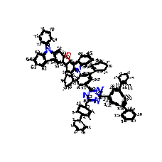 C1=CCC(c2ccc(-c3nc(-c4cc(-c5ccccc5)cc(-c5ccccc5)c4)nc(-c4cc(-c5ccccc5)c(-n5c6ccccc6c6c7oc8cc9c(cc8c7ccc65)c5ccccc5n9-c5ccccc5)c(-c5ccccc5)c4)n3)cc2)C=C1